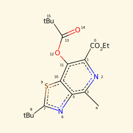 CCOC(=O)c1nc(C)c2nc(C(C)(C)C)sc2c1OC(=O)C(C)(C)C